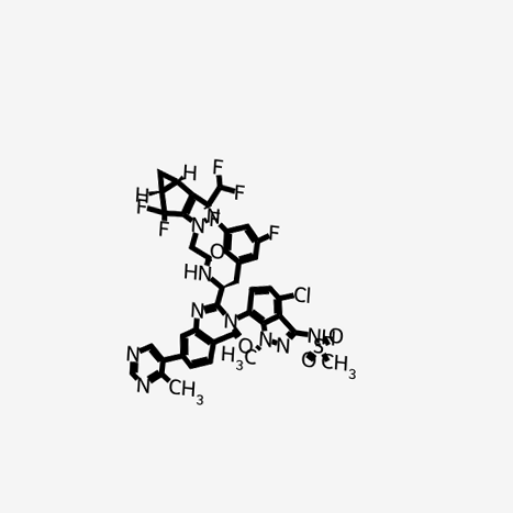 Cc1ncncc1-c1ccc2c(=O)n(-c3ccc(Cl)c4c(NS(C)(=O)=O)nn(C)c34)c([C@H](Cc3cc(F)cc(F)c3)NC(=O)Cn3nc(C(F)F)c4c3C(F)(F)[C@@H]3C[C@H]43)nc2c1